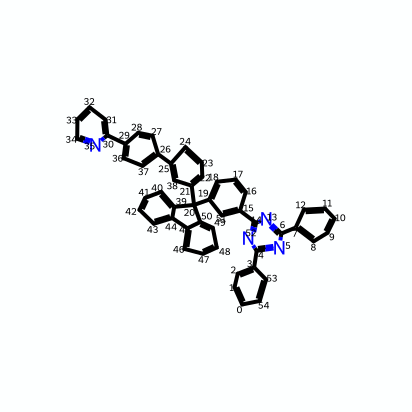 c1ccc(-c2nc(-c3ccccc3)nc(-c3cccc(C4(c5cccc(-c6ccc(-c7ccccn7)cc6)c5)c5ccccc5-c5ccccc54)c3)n2)cc1